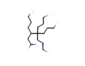 NCCCC(CC(N)N)C(CCCN)(CCCN)CCCN